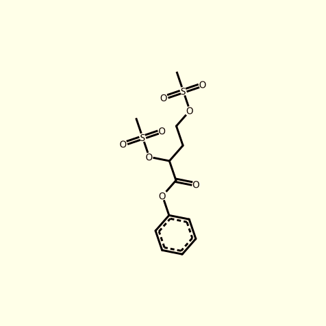 CS(=O)(=O)OCCC(OS(C)(=O)=O)C(=O)Oc1ccccc1